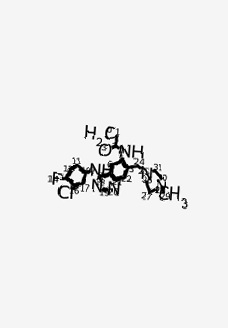 C=CC(=O)Nc1cc2c(Nc3ccc(F)c(Cl)c3)ncnc2cc1CN1CCN(C)CC1